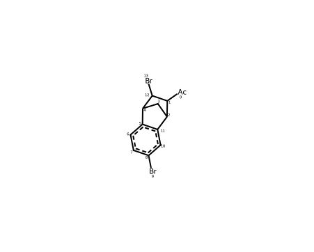 CC(=O)C1C2CC(c3ccc(Br)cc32)C1Br